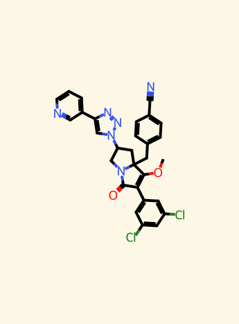 COC1=C(c2cc(Cl)cc(Cl)c2)C(=O)N2CC(n3cc(-c4cccnc4)nn3)CC12Cc1ccc(C#N)cc1